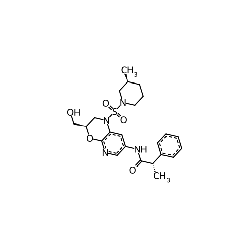 C[C@H]1CCCN(S(=O)(=O)N2C[C@H](CO)Oc3ncc(NC(=O)[C@@H](C)c4ccccc4)cc32)C1